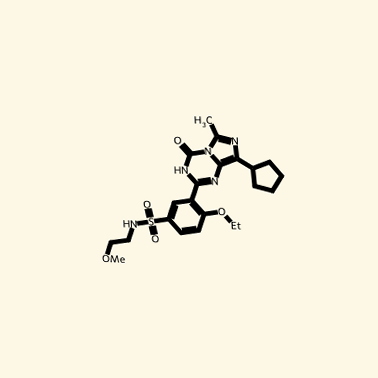 CCOc1ccc(S(=O)(=O)NCCOC)cc1-c1nc2c(C3CCCC3)nc(C)n2c(=O)[nH]1